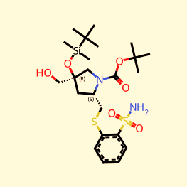 CC(C)(C)OC(=O)N1C[C@](CO)(O[Si](C)(C)C(C)(C)C)C[C@H]1CSc1ccccc1S(N)(=O)=O